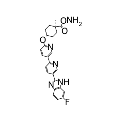 C[C@]1(C(=O)ON)CC[C@H](Oc2ccc(-c3ccc(-c4nc5ccc(F)cc5[nH]4)cn3)cn2)CC1